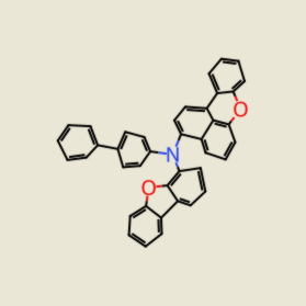 c1ccc(-c2ccc(N(c3ccc4c5c(cccc35)Oc3ccccc3-4)c3cccc4c3oc3ccccc34)cc2)cc1